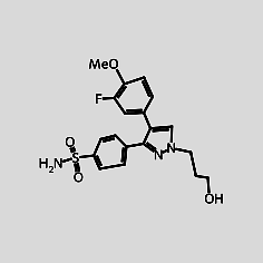 COc1ccc(-c2cn(CCCO)nc2-c2ccc(S(N)(=O)=O)cc2)cc1F